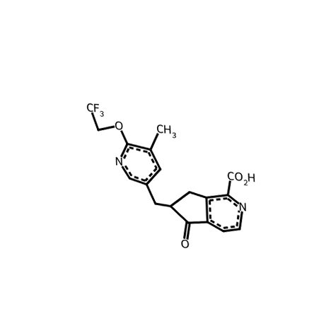 Cc1cc(CC2Cc3c(ccnc3C(=O)O)C2=O)cnc1OCC(F)(F)F